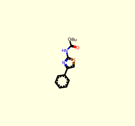 CC(C)COC(=O)Nc1nc(-c2ccccc2)cs1